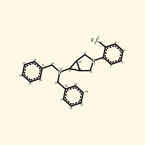 FC(F)(F)c1ccccc1N1CC2C(C1)C2N(Cc1ccccc1)Cc1ccccc1